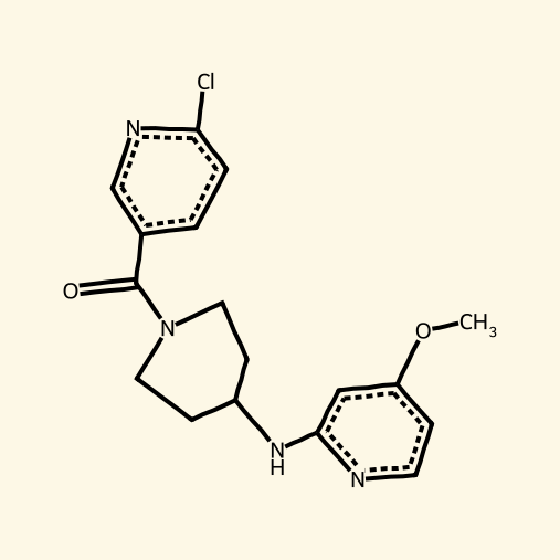 COc1ccnc(NC2CCN(C(=O)c3ccc(Cl)nc3)CC2)c1